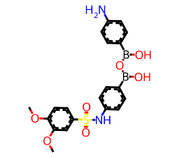 COc1ccc(S(=O)(=O)Nc2ccc(B(O)OB(O)c3ccc(N)cc3)cc2)cc1OC